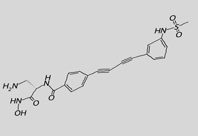 CS(=O)(=O)Nc1cccc(C#CC#Cc2ccc(C(=O)N[C@@H](CN)C(=O)NO)cc2)c1